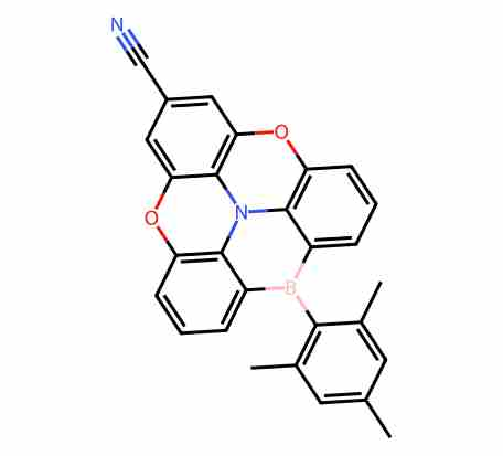 Cc1cc(C)c(B2c3cccc4c3N3c5c(cc(C#N)cc5Oc5cccc2c53)O4)c(C)c1